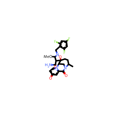 COC1C(C(N)=O)C2(CCC(C)N3CC2n2ccc(=O)cc2C3=O)ON1Cc1c(F)cc(F)cc1F